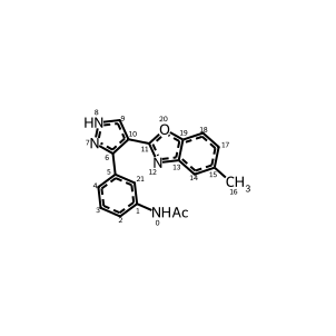 CC(=O)Nc1cccc(-c2n[nH]cc2-c2nc3cc(C)ccc3o2)c1